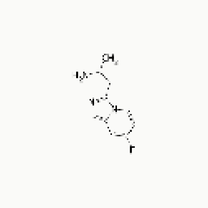 CC(N)Cc1ncc2cc(F)ccn12